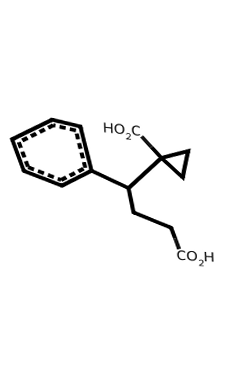 O=C(O)CCC(c1ccccc1)C1(C(=O)O)CC1